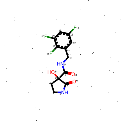 O=C1NCCC1(O)C(=O)NCc1cc(F)cc(F)c1F